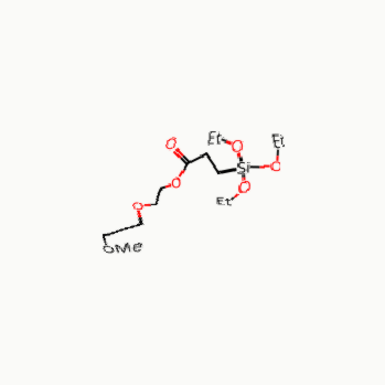 CCO[Si](CCC(=O)OCCOCCOC)(OCC)OCC